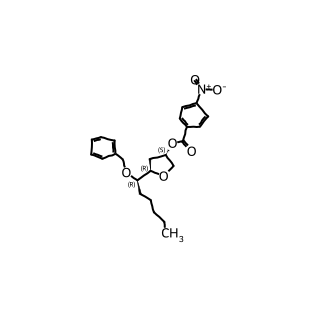 CCCCC[C@@H](OCc1ccccc1)[C@H]1C[C@H](OC(=O)c2ccc([N+](=O)[O-])cc2)CO1